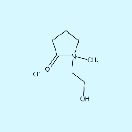 C[N+]1(CCO)CCCC1=O.[Cl-]